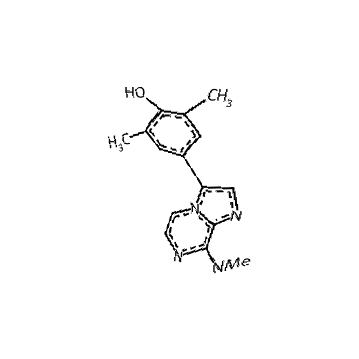 CNc1nccn2c(-c3cc(C)c(O)c(C)c3)cnc12